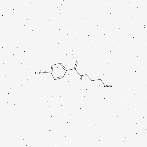 CCCCCCCCCCCCNC(=O)c1ccc(C=O)cc1